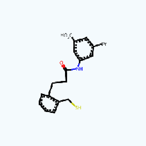 CC(C)c1cc(NC(=O)CCc2ccccc2CS)cc(C(=O)O)c1